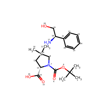 CC(C)(C)OC(=O)N1C[Si](C)(C)C[C@H]1C(=O)O.N[C@@H](CO)c1ccccc1